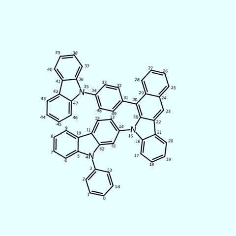 c1ccc(-n2c3ccccc3c3ccc(-n4c5ccccc5c5cc6ccccc6c(-c6ccc(-n7c8ccccc8c8ccccc87)cc6)c54)cc32)cc1